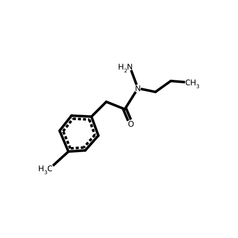 CCCN(N)C(=O)Cc1ccc(C)cc1